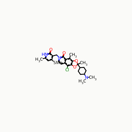 CSc1cc(C)[nH]c(=O)c1Cn1ccc2c(Cl)c3c(c(C)c2c1=O)OC(C)(C1CCC(N(C)C)CC1)O3